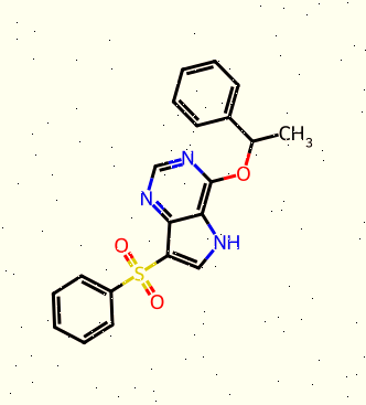 CC(Oc1ncnc2c(S(=O)(=O)c3ccccc3)c[nH]c12)c1ccccc1